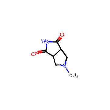 CN1CC2C(=O)NC(=O)C2C1